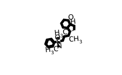 CN=S(=O)(CC[C@@H](C)[C@H]1CC[C@H]2C(=O)CCC[C@]12C)c1ccccc1